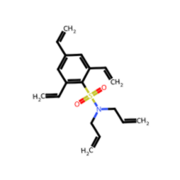 C=CCN(CC=C)S(=O)(=O)c1c(C=C)cc(C=C)cc1C=C